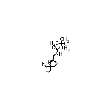 CC(C)(C)OC(=O)NCC1=NC(CF)(CF)CS1